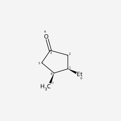 CC[C@@H]1CC(=O)C[C@@H]1C